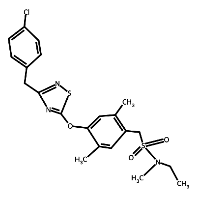 CCN(C)S(=O)(=O)Cc1cc(C)c(Oc2nc(Cc3ccc(Cl)cc3)ns2)cc1C